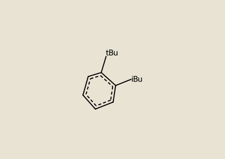 CCC(C)c1ccccc1C(C)(C)C